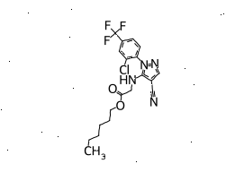 CCCCCCOC(=O)CNc1c(C#N)cnn1-c1ccc(C(F)(F)F)cc1Cl